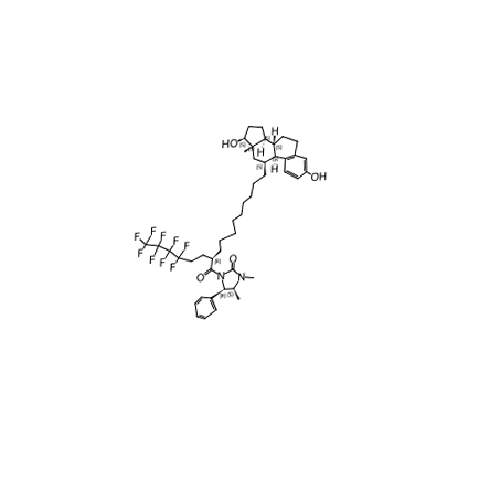 C[C@H]1[C@@H](c2ccccc2)N(C(=O)[C@H](CCCCCCCCC[C@H]2C[C@]3(C)[C@@H](O)CC[C@H]3[C@@H]3CCc4cc(O)ccc4[C@@H]23)CCC(F)(F)C(F)(F)C(F)(F)C(F)(F)F)C(=O)N1C